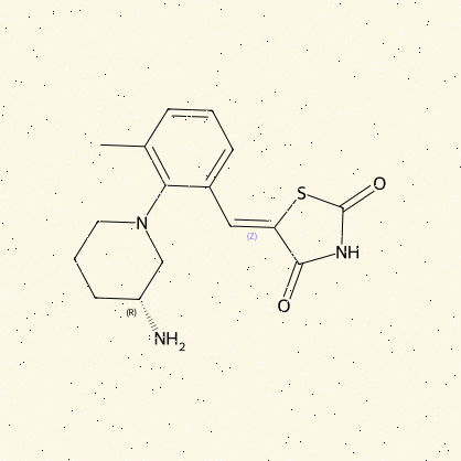 Cc1cccc(/C=C2\SC(=O)NC2=O)c1N1CCC[C@@H](N)C1